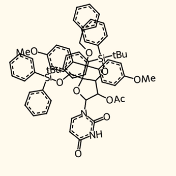 COc1ccc(C(OCc2ccccc2)(c2ccc(OC)cc2)C2(CO[Si](c3ccccc3)(c3ccccc3)C(C)(C)C)OC(n3ccc(=O)[nH]c3=O)C(OC(C)=O)C2O[Si](c2ccccc2)(c2ccccc2)C(C)(C)C)cc1